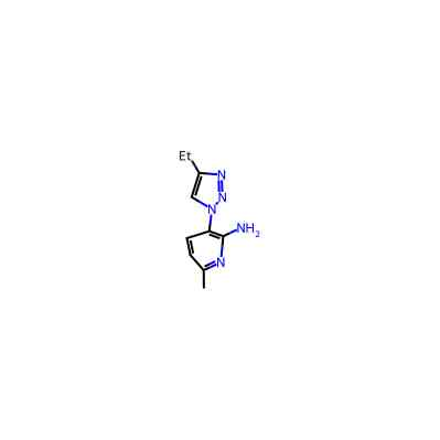 CCc1cn(-c2ccc(C)nc2N)nn1